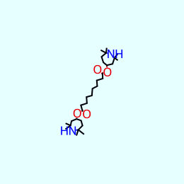 CC1(C)CCC(OC(=O)CCCCCCCCC(=O)OC2CCC(C)(C)NC(C)(C)C2)CC(C)(C)N1